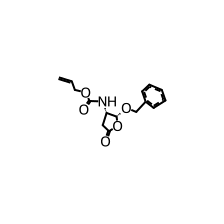 C=CCOC(=O)N[C@H]1CC(=O)O[C@H]1OCc1ccccc1